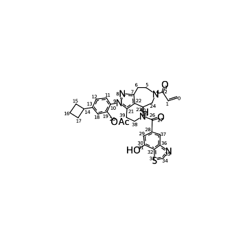 C=CC(=O)N1CCc2nn(-c3ccc(C4CCC4)cc3OC(C)=O)c3c2[C@H](C1)N(C(=O)c1cc(O)c2scnc2c1)CC3